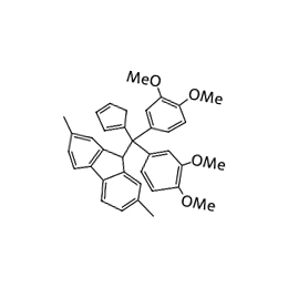 COc1ccc(C(C2=CC=CC2)(c2ccc(OC)c(OC)c2)C2c3cc(C)ccc3-c3ccc(C)cc32)cc1OC